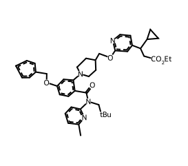 CCOC(=O)CC(c1ccnc(OCC2CCN(c3cc(OCc4ccccc4)ccc3C(=O)N(CC(C)(C)C)c3cccc(C)n3)CC2)c1)C1CC1